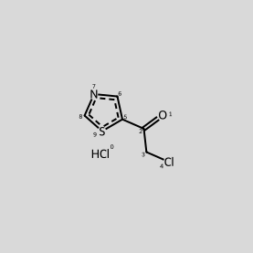 Cl.O=C(CCl)c1cncs1